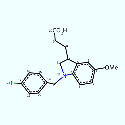 COc1ccc2c(c1)C(CCC(=O)O)CN2Cc1ccc(F)cc1